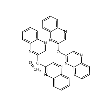 C=O.c1ccc2nc(Oc3cnc4ccccc4n3)cnc2c1.c1ccc2nc(Oc3cnc4ccccc4n3)cnc2c1